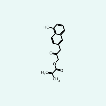 C=C(C)C(=O)OCC(=O)Cc1ccc2c(O)cccc2c1